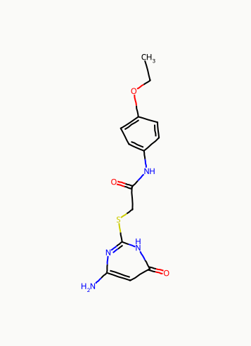 CCOc1ccc(NC(=O)CSc2nc(N)cc(=O)[nH]2)cc1